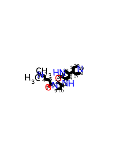 CN(C)CC=CC(=O)N1CC[C@H](Nc2cc(-c3ccncc3)c[nH]c2=O)C1